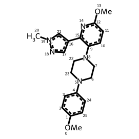 COc1ccc(N2CCN(c3ccc(OC)nc3-c3cnn(C)c3)CC2)cc1